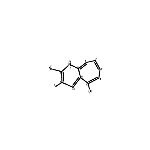 CC1=C(Br)NC2=CC=CC=C(Br)C2=C1